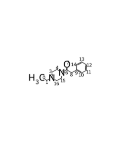 CCN1CCN(C(=O)Cc2ccccc2)CC1